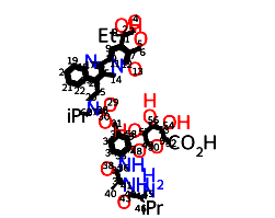 CC[C@@]1(O)C(=O)OCc2c1cc1n(c2=O)Cc2c-1nc1ccccc1c2CCN(C(=O)OCc1ccc(NC(=O)[C@H](C)NC(=O)[C@@H](N)C(C)C)c(OC2OC(C(=O)O)C(O)C(O)C2O)c1)C(C)C